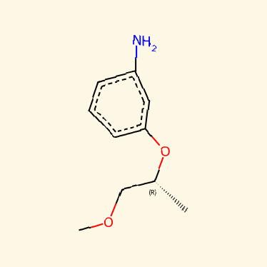 COC[C@@H](C)Oc1cccc(N)c1